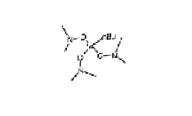 CCCC[Si](ON(C)C)(ON(C)C)ON(C)C